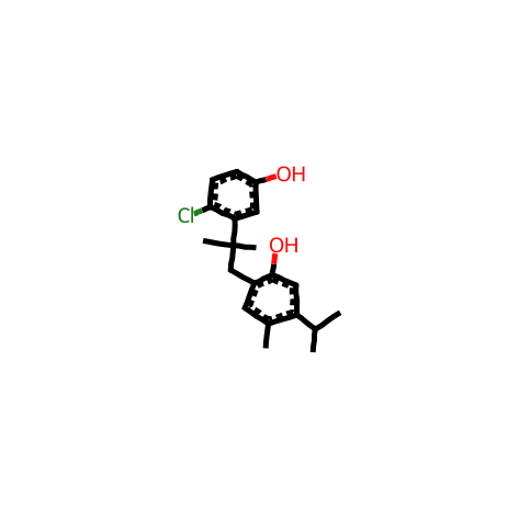 Cc1cc(CC(C)(C)c2cc(O)ccc2Cl)c(O)cc1C(C)C